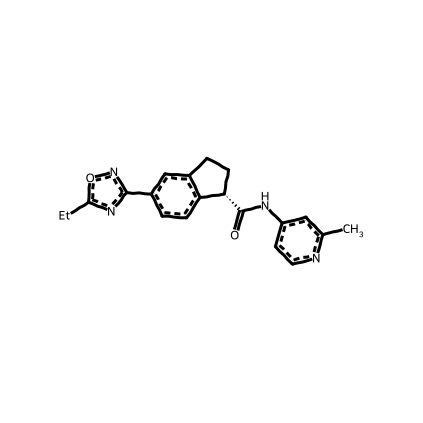 CCc1nc(-c2ccc3c(c2)CC[C@@H]3C(=O)Nc2ccnc(C)c2)no1